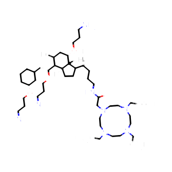 CCC1C[C@H](OCCCN)C2(C)C([C@H](C)CCCNC(O)CN3CCN(CC(=O)O)CCN(CC(=O)O)CCN(CC(=O)O)CC3)CC[C@H]2C1[C@@H](CC1CCC[C@@H](OCCCN)C1)OCCCN